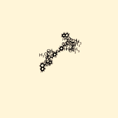 CNC(C)C(=O)NC(Cc1ccc(OCc2ccc(C(=O)N[C@H]3C[C@@H](C(=O)N[C@@H]4CCCc5ccccc54)N(C(=O)C(NC(=O)C(C)NC)C(C)(C)C)C3)cc2)cc1)C(=O)N1CCCC1C(=O)N[C@@H]1CCCc2ccccc21